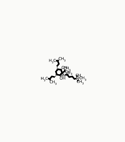 CC(C)CC[C@@H]1C[C@H](CCC(C)C)[C@H](O)[C@](NC(=O)CCC[N+](C)(C)C)(C(C)C)[C@@H]1O